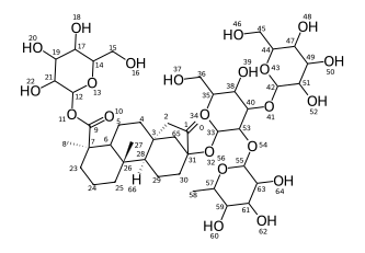 C=C1C[C@@]23CCC4[C@](C)(C(=O)OC5OC(CO)C(O)C(O)C5O)CCC[C@@]4(C)[C@@H]2CCC1(OC1OC(CO)C(O)C(OC2OC(CO)C(O)C(O)C2O)C1OC1OC(C)C(O)C(O)C1O)C3